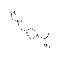 CCNCc1ccc(C(C)=O)cc1